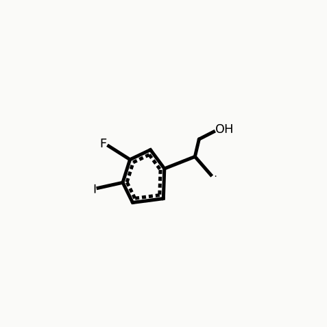 [CH2]C(CO)c1ccc(I)c(F)c1